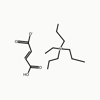 CCC[N+](CC)(CCC)CCC.O=C([O-])/C=C/C(=O)O